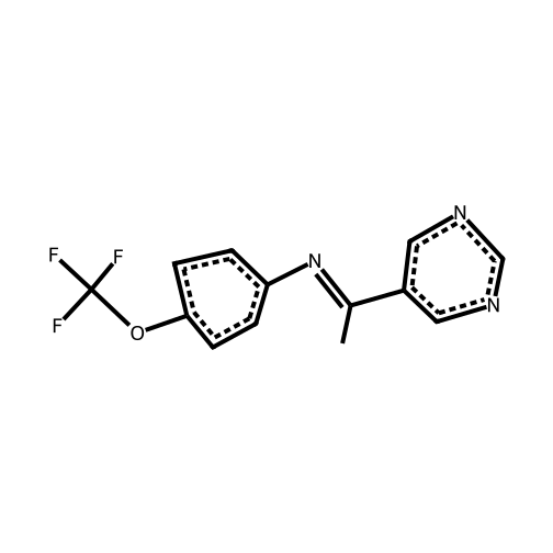 C/C(=N\c1ccc(OC(F)(F)F)cc1)c1cncnc1